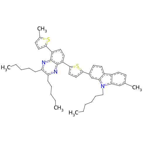 CCCCCCn1c2cc(C)ccc2c2ccc(-c3ccc(-c4ccc(-c5ccc(C)s5)c5nc(CCCCC)c(CCCCC)nc45)s3)cc21